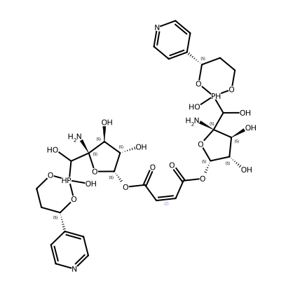 N[C@]1(C(O)[PH]2(O)OCC[C@@H](c3ccncc3)O2)O[C@@H](OC(=O)/C=C\C(=O)O[C@@H]2O[C@](N)(C(O)[PH]3(O)OCC[C@@H](c4ccncc4)O3)[C@@H](O)[C@@H]2O)[C@@H](O)[C@@H]1O